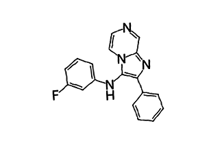 Fc1cccc(Nc2c(-c3ccccc3)nc3cnccn23)c1